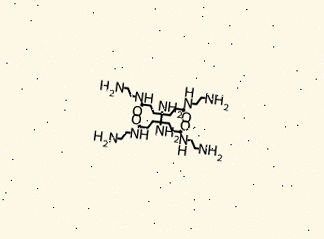 NCCNC(=O)CCC(N)(CCC(=O)NCCN)C(N)(CCC(=O)NCCN)CCC(=O)NCCN